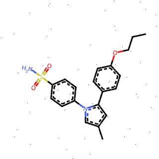 CCCOc1ccc(-c2cc(C)cn2-c2ccc(S(N)(=O)=O)cc2)cc1